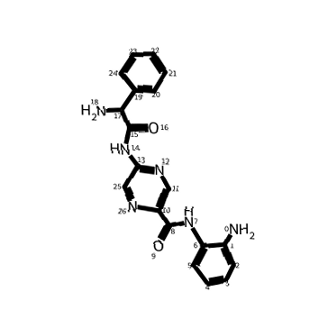 Nc1ccccc1NC(=O)c1cnc(NC(=O)C(N)c2ccccc2)cn1